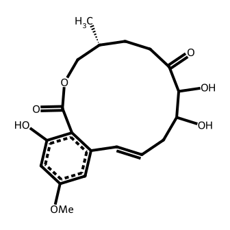 COc1cc(O)c2c(c1)/C=C/CC(O)C(O)C(=O)CC[C@@H](C)COC2=O